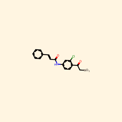 O=C(C=Cc1ccccc1)Nc1ccc(C(=O)C[N+](=O)[O-])c(Cl)c1